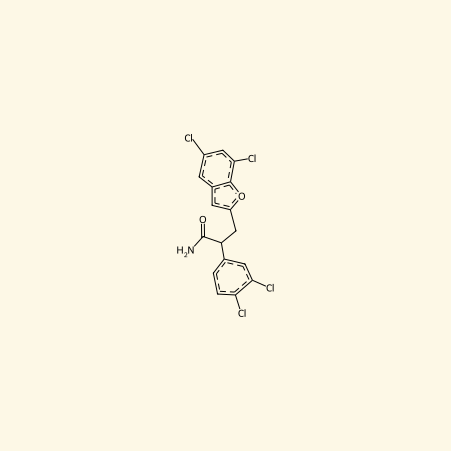 NC(=O)C(Cc1cc2cc(Cl)cc(Cl)c2o1)c1ccc(Cl)c(Cl)c1